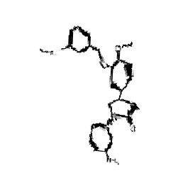 COc1cccc(COc2cc(C3CC(=O)N(c4cccc(N)c4)C3)ccc2OC)c1